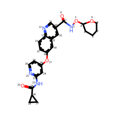 O=C(NOC1CCCCO1)c1cnc2ccc(Oc3ccnc(NC(=O)C4CC4)c3)cc2c1